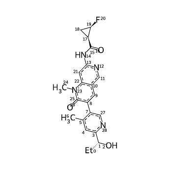 CC[C@@H](O)c1cc(C)c(-c2cc3cnc(NC(=O)[C@H]4C[C@H]4F)cc3n(C)c2=O)cn1